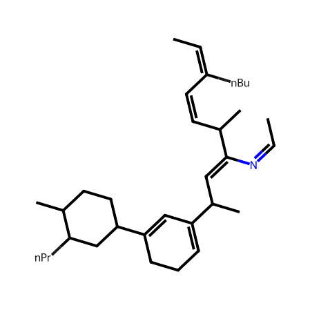 C/C=N\C(=C/C(C)C1=CCCC(C2CCC(C)C(CCC)C2)=C1)C(C)/C=C\C(=C/C)CCCC